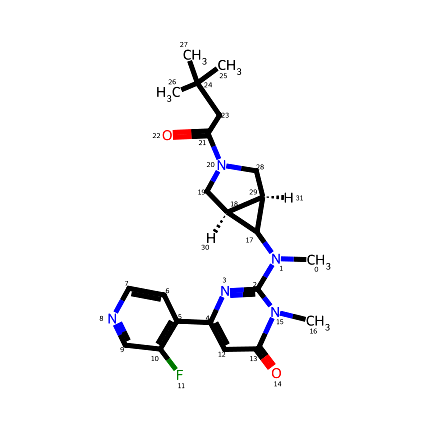 CN(c1nc(-c2ccncc2F)cc(=O)n1C)C1[C@H]2CN(C(=O)CC(C)(C)C)C[C@@H]12